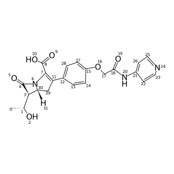 C[C@@H](O)[C@H]1C(=O)N2C(C(=O)O)=C(c3ccc(OCC(=O)Nc4ccncc4)cc3)C[C@H]12